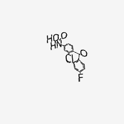 O=C(O)Nc1ccc(C(=O)c2ccc(F)cc2)c(Cl)c1